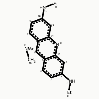 CCNc1ccc2cc3ccc(NCC)cc3nc2c1.CNC